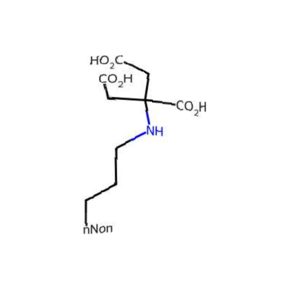 CCCCCCCCCCCCNC(CC(=O)O)(CC(=O)O)C(=O)O